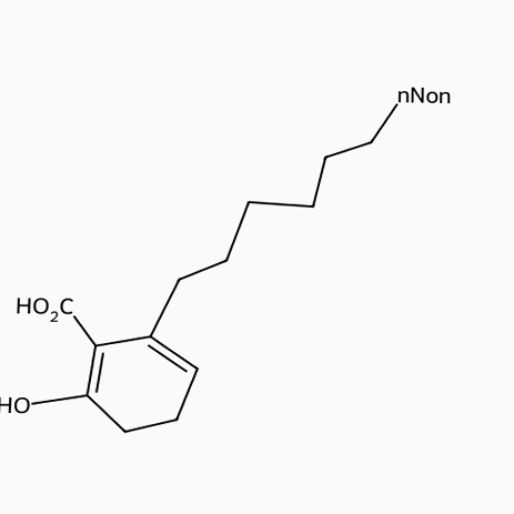 CCCCCCCCCCCCCCCC1=CCCC(O)=C1C(=O)O